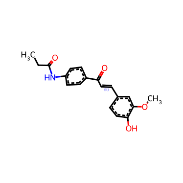 CCC(=O)Nc1ccc(C(=O)/C=C/c2ccc(O)c(OC)c2)cc1